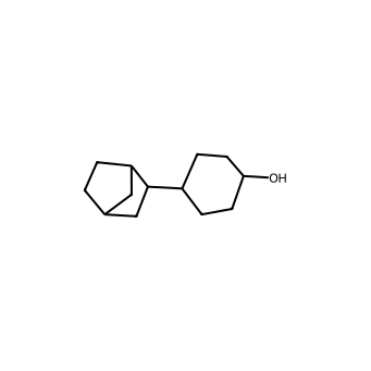 OC1CCC(C2CC3CCC2C3)CC1